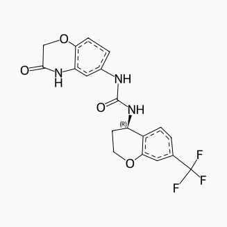 O=C1COc2ccc(NC(=O)N[C@@H]3CCOc4cc(C(F)(F)F)ccc43)cc2N1